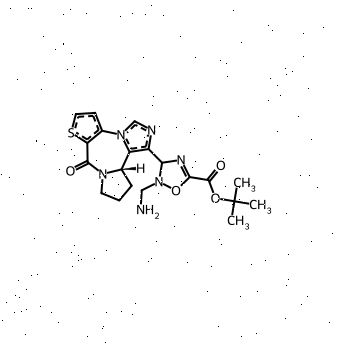 CC(C)(C)OC(=O)C1=NC(c2ncn3c2[C@@H]2CCCN2C(=O)c2sccc2-3)N(CN)O1